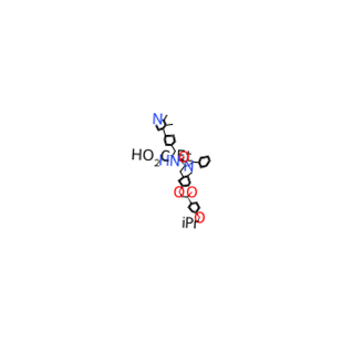 CC[C@@H](c1ccccc1)N1Cc2cc3c(cc2C[C@H]1C(=O)N[C@@H](Cc1ccc(-c2ccnc(C)c2C)cc1)C(=O)O)OC[C@H](c1ccc(OC(C)C)cc1)O3